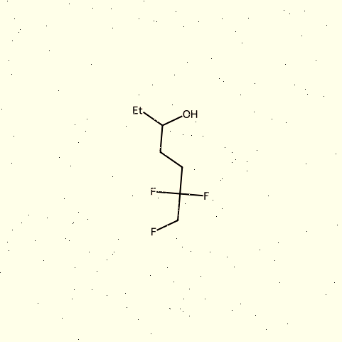 CCC(O)CCC(F)(F)CF